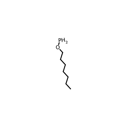 CCCCCCCOP